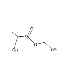 CCCC[O]/[Sb](=[O])=[C](/C)O